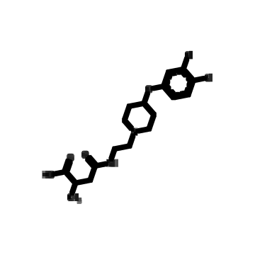 CC(CC(=O)NCCN1CCC(Oc2ccc(Cl)c(Cl)c2)CC1)C(=O)O